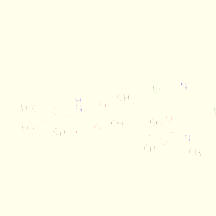 CN(Cc1cc(Br)ncc1F)C(=O)OC(C)(C)CCC(C)(C)OC(=O)NC(=O)OC(C)(C)C